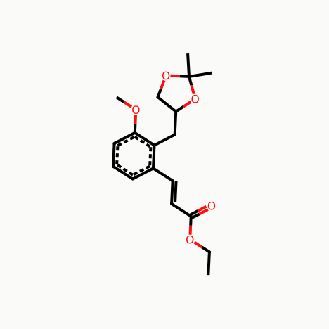 CCOC(=O)/C=C/c1cccc(OC)c1CC1COC(C)(C)O1